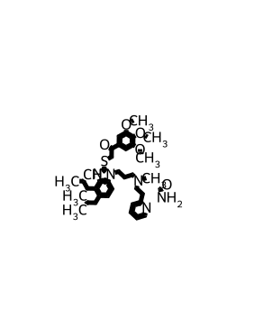 COc1cc(C(=O)CSc2nc3c(CC(C)C)c(CC(C)C)ccc3n2CCCN(C)CCc2ccccn2)cc(OC)c1OC.NC=O